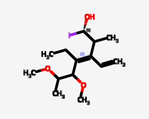 C=C/C(=C(/CC)C(OC)C(C)OC)C(C)[C@@H](O)I